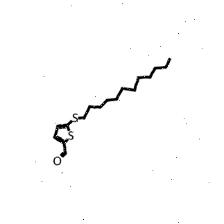 CCCCCCCCCCCCSc1ccc(C=O)s1